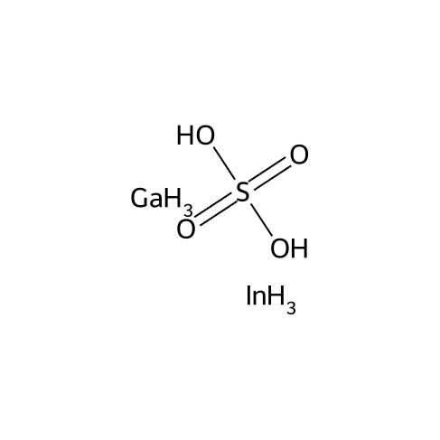 O=S(=O)(O)O.[GaH3].[InH3]